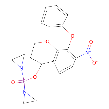 O=[N+]([O-])c1ccc2c(c1Oc1ccccc1)OCCC2OP(=O)(N1CC1)N1CC1